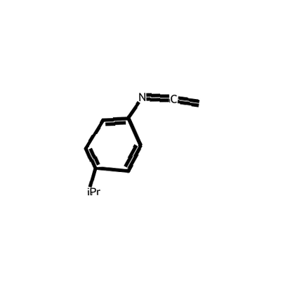 C=C=Nc1ccc(C(C)C)cc1